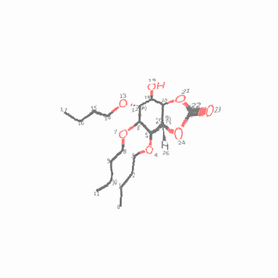 CCCCOC1C(OCCCC)[C@H](OCCCC)C(O)C2OC(=O)O[C@@H]21